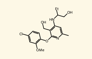 CCC(CO)Nc1cc(C)nc(Oc2ccc(Cl)cc2OC)c1CO